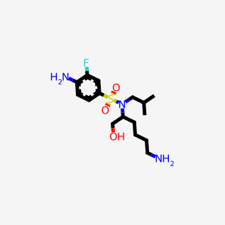 CC(C)CN(C(CO)CCCCN)S(=O)(=O)c1ccc(N)c(F)c1